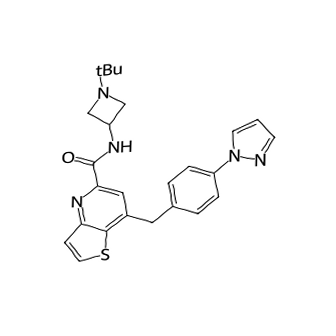 CC(C)(C)N1CC(NC(=O)c2cc(Cc3ccc(-n4cccn4)cc3)c3sccc3n2)C1